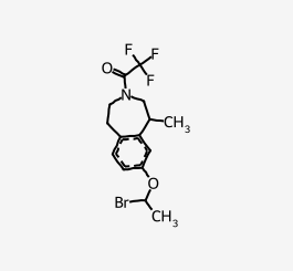 CC(Br)Oc1ccc2c(c1)C(C)CN(C(=O)C(F)(F)F)CC2